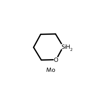 C1CC[SiH2]OC1.[Mo]